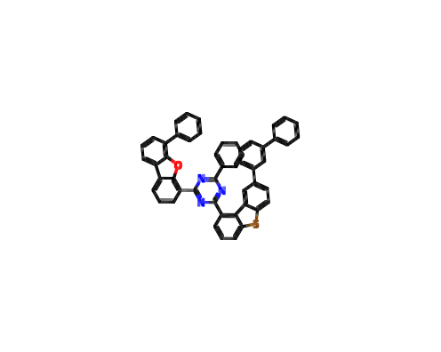 c1ccc(-c2cccc(-c3ccc4sc5cccc(-c6nc(-c7ccccc7)nc(-c7cccc8c7oc7c(-c9ccccc9)cccc78)n6)c5c4c3)c2)cc1